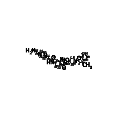 C[C@H](CC(=O)N1CCC(O)(Cn2cnc3cc(NC(=O)CCN4CCN(CCN)CC4)ccc3c2=O)CC1)c1ccccc1